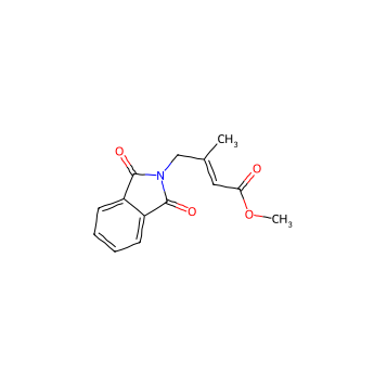 COC(=O)C=C(C)CN1C(=O)c2ccccc2C1=O